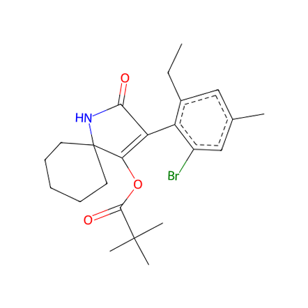 CCc1cc(C)cc(Br)c1C1=C(OC(=O)C(C)(C)C)C2(CCCCC2)NC1=O